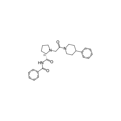 O=C(NC(=O)[C@@H]1CCCN1CC(=O)N1CCC(c2ccccc2)CC1)c1ccccc1